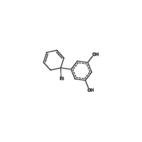 CCC1(c2cc(O)cc(O)c2)C=CC=CC1